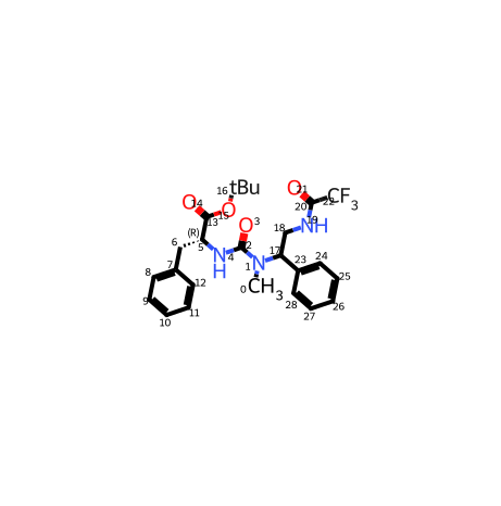 CN(C(=O)N[C@H](Cc1ccccc1)C(=O)OC(C)(C)C)C(CNC(=O)C(F)(F)F)c1ccccc1